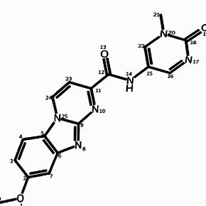 COc1ccc2c(c1)nc1nc(C(=O)Nc3cnc(=O)n(C)c3)ccn12